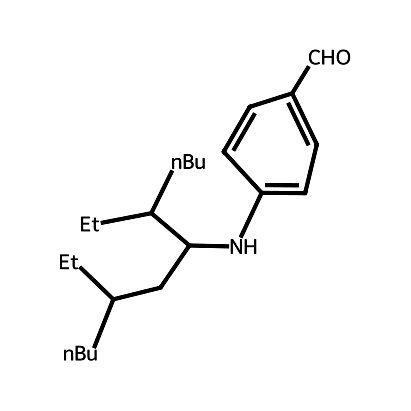 CCCCC(CC)CC(Nc1ccc(C=O)cc1)C(CC)CCCC